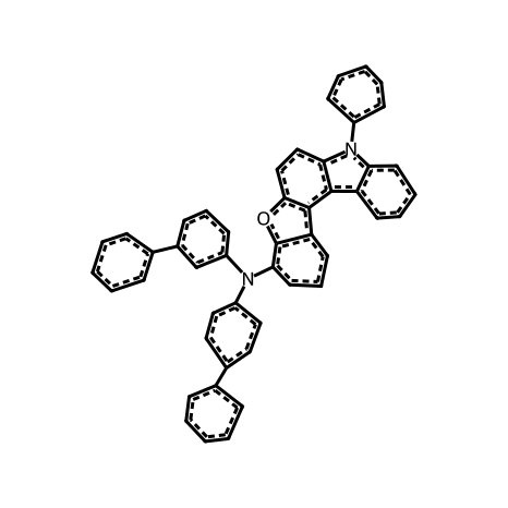 c1ccc(-c2ccc(N(c3cccc(-c4ccccc4)c3)c3cccc4c3oc3ccc5c(c6ccccc6n5-c5ccccc5)c34)cc2)cc1